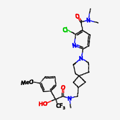 COc1cccc(C(O)(C(=O)N(C)CC2CC3(CCN(c4ccc(C(=O)N(C)C)c(Cl)n4)CC3)C2)C(F)(F)F)c1